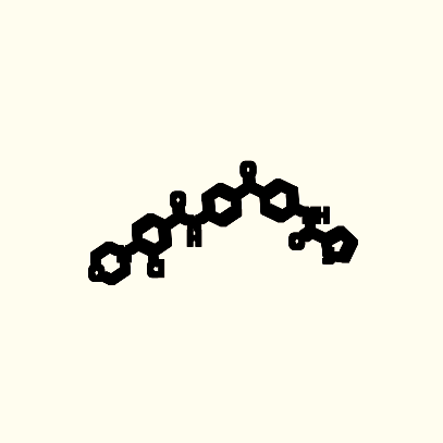 O=C(Nc1ccc(C(=O)c2ccc(NC(=O)c3cccs3)cc2)cc1)c1ccc(N2CCOCC2)c(Cl)c1